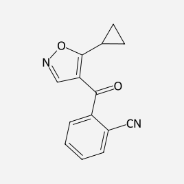 N#Cc1ccccc1C(=O)c1cnoc1C1CC1